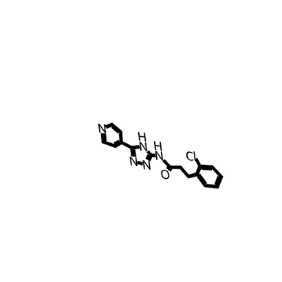 O=C(CCc1ccccc1Cl)Nc1nnc(-c2ccncc2)[nH]1